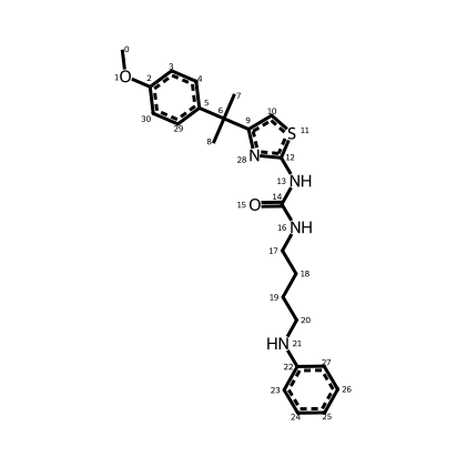 COc1ccc(C(C)(C)c2csc(NC(=O)NCCCCNc3ccccc3)n2)cc1